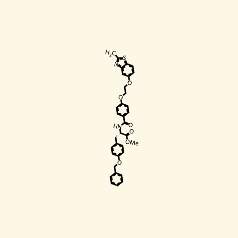 COC(=O)[C@H](Cc1ccc(OCc2ccccc2)cc1)NC(=O)c1ccc(OCCOc2ccc3sc(C)nc3c2)cc1